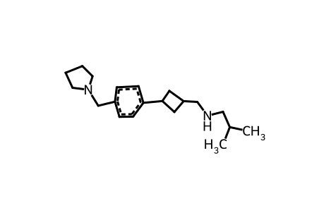 CC(C)CNCC1CC(c2ccc(CN3CCCC3)cc2)C1